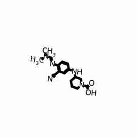 CN(C)C=Nc1ccc(NC2CCCN(C(=O)O)C2)cc1C#N